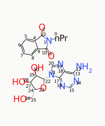 CCCN1C(=O)c2ccccc2C1=O.Nc1ncnc2c1ncn2[C@@H]1O[C@H](CO)[C@@H](O)[C@H]1O